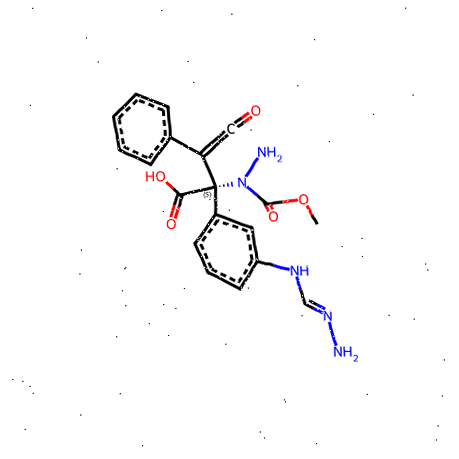 COC(=O)N(N)[C@](C(=O)O)(C(=C=O)c1ccccc1)c1cccc(NC=NN)c1